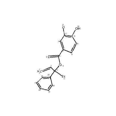 C=CC(CC)(OC(=O)c1ccc(O)c(Cl)c1)c1ccccc1